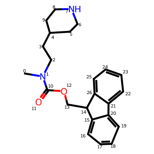 CN(CCC1CCNCC1)C(=O)OCC1c2ccccc2-c2ccccc21